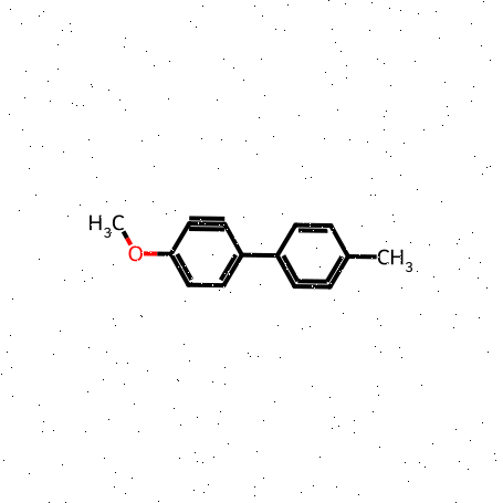 COc1c#cc(C2=C=C=C(C)C=C2)cc1